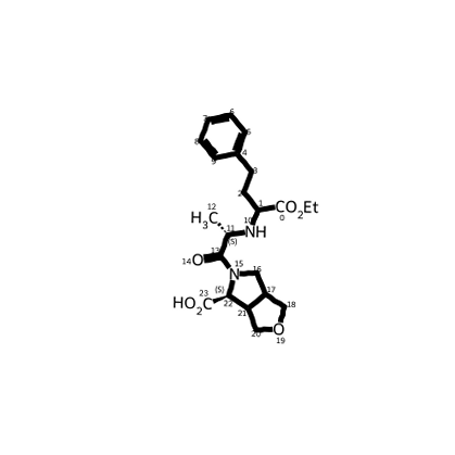 CCOC(=O)C(CCc1ccccc1)N[C@@H](C)C(=O)N1CC2COCC2[C@H]1C(=O)O